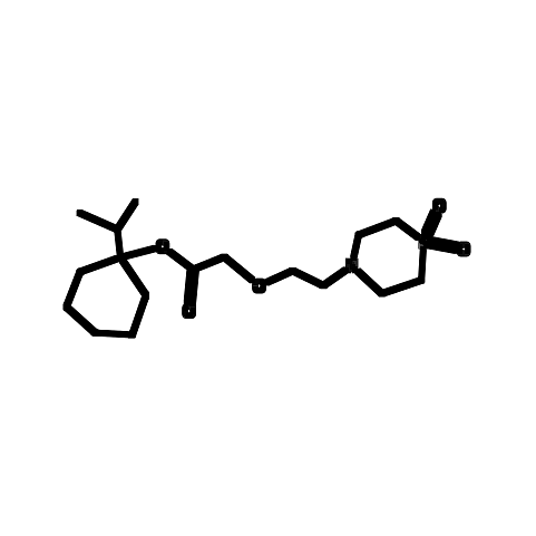 CC(C)C1(OC(=O)COCCN2CCS(=O)(=O)CC2)CCCCC1